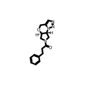 O=C(CCc1ccccc1)N1C[C@@H]2[C@@H](C1)OCc1cnnn12